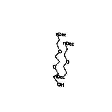 CCCCCCCCCCCCOCCCCCCCCCCCC.CCCCCCCCCCCCOCCOCCO